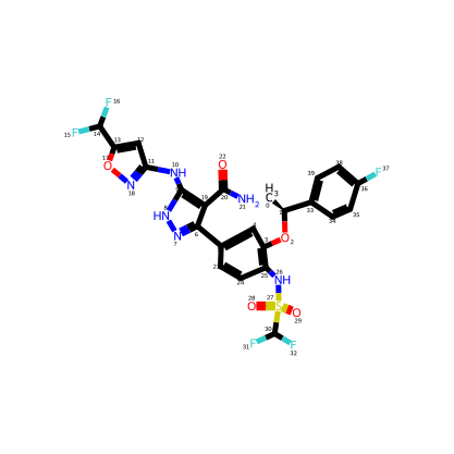 C[C@H](Oc1cc(-c2n[nH]c(Nc3cc(C(F)F)on3)c2C(N)=O)ccc1NS(=O)(=O)C(F)F)c1ccc(F)cc1